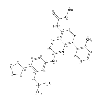 Cc1ccncc1-c1ccc(NC(=O)OC(C)(C)C)c2cnc(Nc3ccc(C4CCOC4)c(CN(C)C)c3)nc12